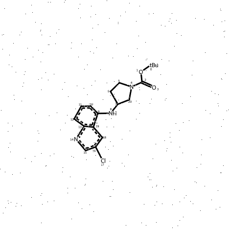 CC(C)(C)OC(=O)N1CCC(Nc2cccc3ncc(Cl)cc23)C1